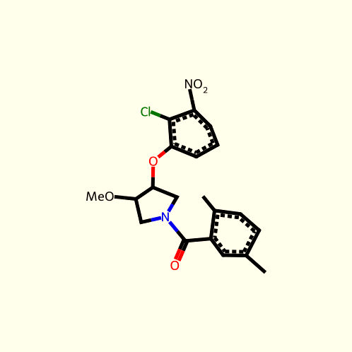 COC1CN(C(=O)c2cc(C)ccc2C)CC1Oc1cccc([N+](=O)[O-])c1Cl